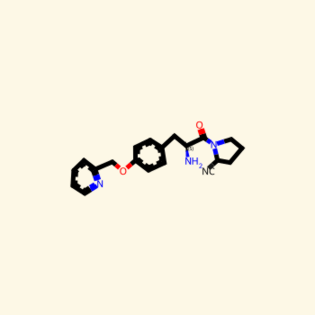 N#CC1CCCN1C(=O)[C@@H](N)Cc1ccc(OCc2ccccn2)cc1